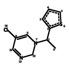 CC(c1cccs1)N1C=C(Cl)C=NC1